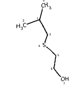 CC(C)CSCCO